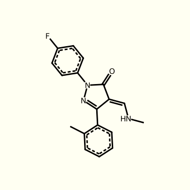 CNC=C1C(=O)N(c2ccc(F)cc2)N=C1c1ccccc1C